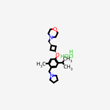 Cc1cc(O[C@H]2C[C@H](CN3CCOCC3)C2)c(C(C)C)cc1CN1CCCC1.Cl.Cl